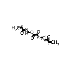 C=CC(=O)NCOC(=O)C(=O)OCNC(=O)C=C